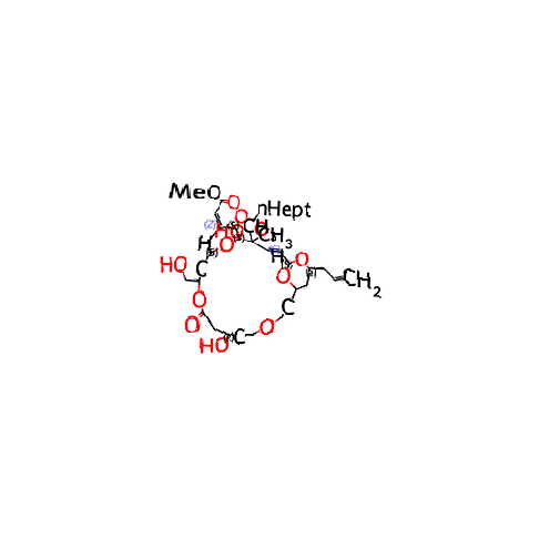 C=CC[C@H]1CC2CCOCC[C@@H](O)CC(=O)OC(CO)C[C@@H]3C/C(=C/C(=O)OC)[C@H](OC(=O)CCCCCCC)[C@@](O)(O3)C(C)(C)/C=C/[C@H](O2)O1